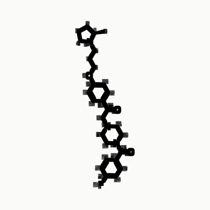 C[C@@H]1CCCN1CCCOc1ccc(C(=O)CN2CCN(C(=O)c3ccc(F)cc3)CC2)cc1